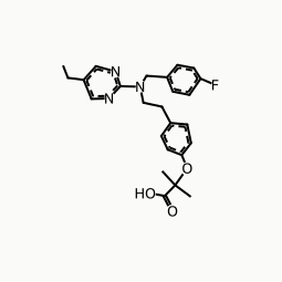 CCc1cnc(N(CCc2ccc(OC(C)(C)C(=O)O)cc2)Cc2ccc(F)cc2)nc1